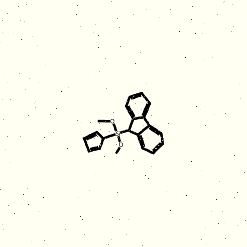 CO[Si](OC)(C1C=CC=C1)C1c2ccccc2-c2ccccc21